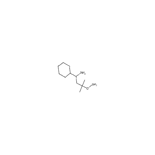 CC(C)(CC(N)C1CCCCC1)O[SiH3]